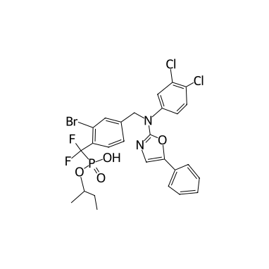 CCC(C)OP(=O)(O)C(F)(F)c1ccc(CN(c2ccc(Cl)c(Cl)c2)c2ncc(-c3ccccc3)o2)cc1Br